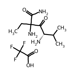 CCC(N)(C(N)=O)C(=O)[C@@H](N)C(C)C.O=C(O)C(F)(F)F